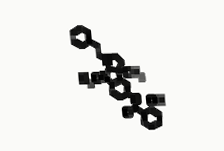 CN1c2ccc(OC(=O)c3ccccc3O)cc2C2(C)CCN(CCc3ccccc3)C12